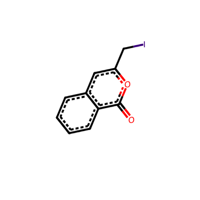 O=c1oc(CI)cc2ccccc12